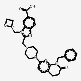 O=C(O)c1ccc2nc(CN3CCN(c4ccc5c(n4)N(Cc4ccccc4)C(=O)CC5)CC3)n(C[C@@H]3CCO3)c2c1